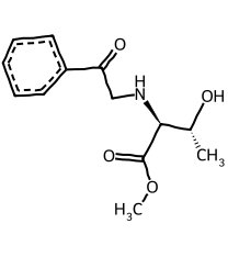 COC(=O)[C@@H](NCC(=O)c1ccccc1)[C@@H](C)O